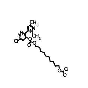 Cc1cc(-c2nnc(Cl)cc2OC(=O)OCCCCCCCCCCOC(=O)Cl)n(C)n1